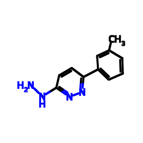 Cc1cccc(-c2ccc(NN)nn2)c1